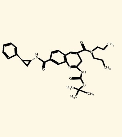 CCCN(CCC)C(=O)C1=Cc2ccc(C(=O)N[C@@H]3C[C@H]3c3ccccc3)cc2N=C(NC(=O)OC(C)(C)C)C1